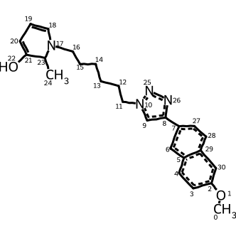 COc1ccc2cc(-c3cn(CCCCCCN4C=CC=C(O)C4C)nn3)ccc2c1